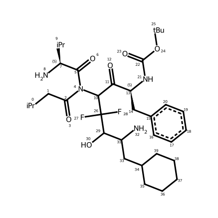 CC(C)CC(=O)N(C(=O)[C@@H](N)C(C)C)C(C(=O)[C@H](Cc1ccccc1)NC(=O)OC(C)(C)C)C(F)(F)C(O)C(N)CC1CCCCC1